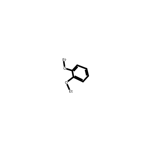 C[CH]Oc1ccccc1OCC